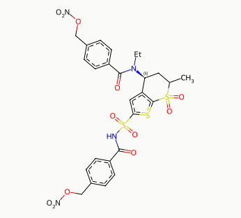 CCN(C(=O)c1ccc(CO[N+](=O)[O-])cc1)[C@H]1CC(C)S(=O)(=O)c2sc(S(=O)(=O)NC(=O)c3ccc(CO[N+](=O)[O-])cc3)cc21